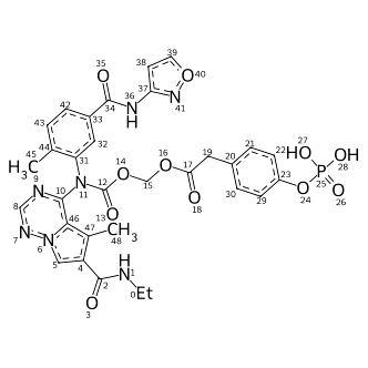 CCNC(=O)c1cn2ncnc(N(C(=O)OCOC(=O)Cc3ccc(OP(=O)(O)O)cc3)c3cc(C(=O)Nc4ccon4)ccc3C)c2c1C